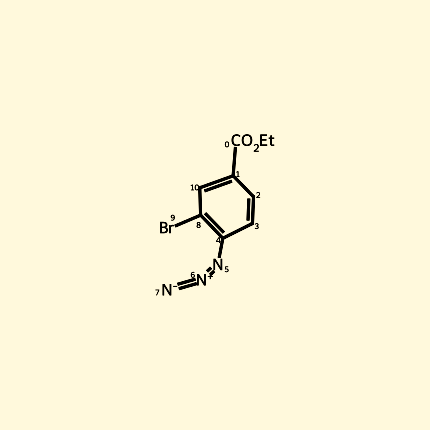 CCOC(=O)c1ccc(N=[N+]=[N-])c(Br)c1